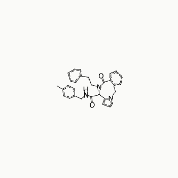 Cc1ccc(CNC(=O)C2c3cccn3Cc3ccccc3C(=O)N2CCc2ccccc2)cc1